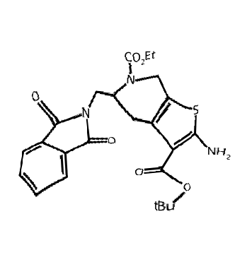 CCOC(=O)N1Cc2sc(N)c(C(=O)OC(C)(C)C)c2CC1CN1C(=O)c2ccccc2C1=O